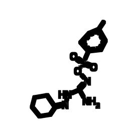 Cc1ccc(S(=O)(=O)ON=C(N)NN=C2CCCCC2)cc1